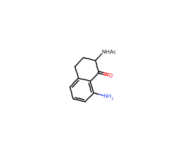 CC(=O)NC1CCc2cccc(N)c2C1=O